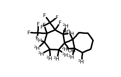 [2H]C1CCCCC(O)(C2(O)C([2H])([2H])C([2H])([2H])C([2H])([2H])C(F)(C(F)(F)F)C(F)(C(F)(F)F)C2([2H])[2H])C1([2H])[2H]